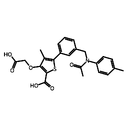 CC(=O)N(Cc1cccc(-c2sc(C(=O)O)c(OCC(=O)O)c2C)c1)c1ccc(C)cc1